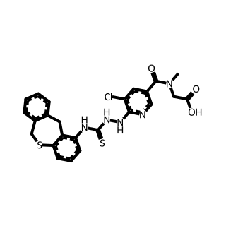 CN(CC(=O)O)C(=O)c1cnc(NNC(=S)Nc2cccc3c2Cc2ccccc2CS3)c(Cl)c1